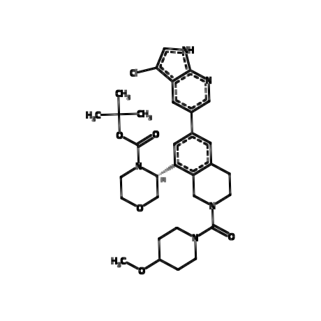 COC1CCN(C(=O)N2CCc3cc(-c4cnc5[nH]cc(Cl)c5c4)cc([C@@H]4COCCN4C(=O)OC(C)(C)C)c3C2)CC1